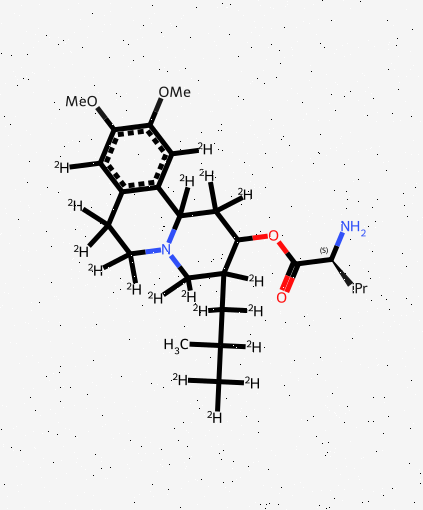 [2H]c1c(OC)c(OC)c([2H])c2c1C([2H])([2H])C([2H])([2H])N1C([2H])([2H])C([2H])(C([2H])([2H])C([2H])(C)C([2H])([2H])[2H])C(OC(=O)[C@@H](N)C(C)C)C([2H])([2H])C21[2H]